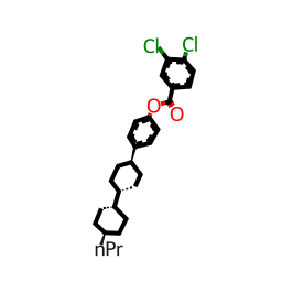 CCC[C@H]1CC[C@H]([C@H]2CC[C@H](c3ccc(OC(=O)c4ccc(Cl)c(Cl)c4)cc3)CC2)CC1